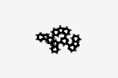 c1ccc(-c2nc(-c3cccc4oc5ccccc5c34)nc(-c3cccc4sc5ccc(-c6nc(-c7ccccc7)nc7c6sc6ccccc67)cc5c34)n2)cc1